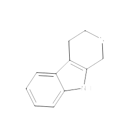 c1ccc2c3c([nH]c2c1)C[N]CC3